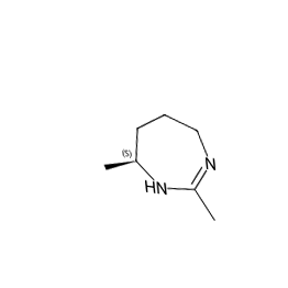 CC1=NCCC[C@H](C)N1